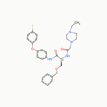 CCN1CCN(CC(=O)N[C@@H](COCc2ccccc2)C(=O)Nc2ccc(Oc3ccc(F)cc3)cc2)CC1